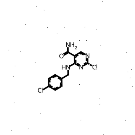 NC(=O)c1cnc(Cl)nc1NCc1ccc(Cl)cc1